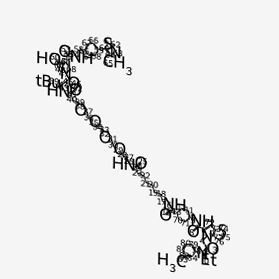 CCN(C(=O)Cn1c(C(=O)N[C@H]2CC[C@H](C(=O)NCCCCCCCC(=O)NCCOCCOCCOCCOCCC(=O)NC(C(=O)N3C[C@@H](O)[C@H](C(=O)NCc4ccc(-c5scnc5C)cc4)C3)C(C)(C)C)CC2)cc2sccc21)c1cccc(C)c1